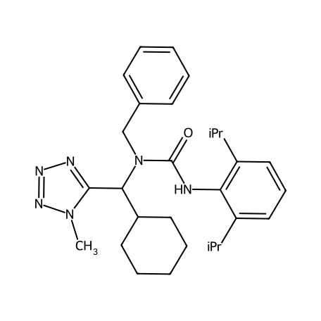 CC(C)c1cccc(C(C)C)c1NC(=O)N(Cc1ccccc1)C(c1nnnn1C)C1CCCCC1